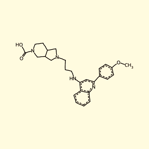 COc1ccc(-c2cc(NCCCN3CC4CCN(C(=O)O)CC4C3)c3ccccc3n2)cc1